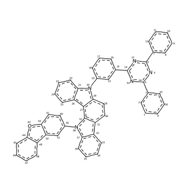 c1ccc(-c2nc(-c3ccccc3)nc(-c3cccc(-n4c5ccccc5c5c4ccc4c6ccccc6n(-c6ccc7oc8ccccc8c7c6)c45)c3)n2)cc1